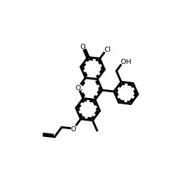 C=CCOc1cc2oc3cc(=O)c(Cl)cc-3c(-c3ccccc3CO)c2cc1C